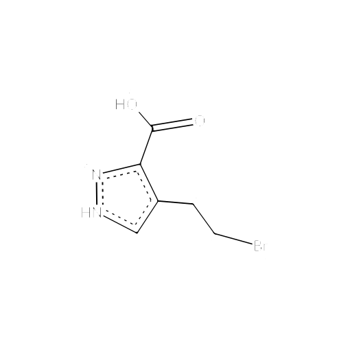 O=C(O)c1n[nH]cc1CCBr